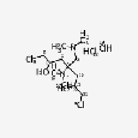 CN(C)CC(CC(O)CCl)(CC(O)CCl)N(C)C.Cl.Cl